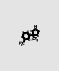 FC(F)(F)c1cccc(C2(C(F)(F)F)CCNC2)c1